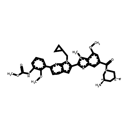 COC(=O)Nc1cccc(-c2ccc3cc(-c4nc5cc(C(=O)N6C[C@H](N)C[C@@H](F)C6)cc(OC)c5n4C)n(CC4CC4)c3n2)c1OC